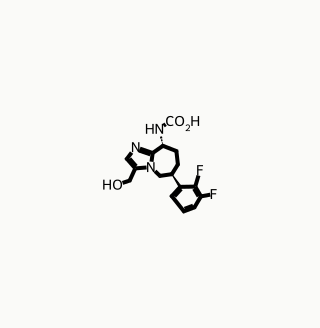 O=C(O)N[C@@H]1CC[C@@H](c2cccc(F)c2F)Cn2c(CO)cnc21